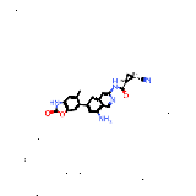 Cc1cc2[nH]c(=O)oc2cc1-c1cc(N)c2cnc(NC(=O)[C@H]3C[C@@H]3C#N)cc2c1